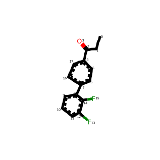 CCC(=O)c1ccc(-c2cccc(F)c2F)cc1